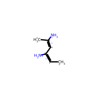 C/C=C(N)\C=C(/C)N